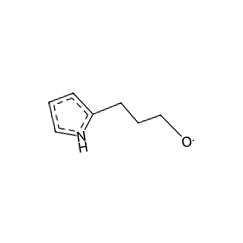 [O]CCCc1ccc[nH]1